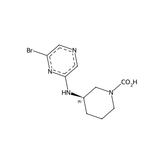 O=C(O)N1CCC[C@@H](Nc2cncc(Br)n2)C1